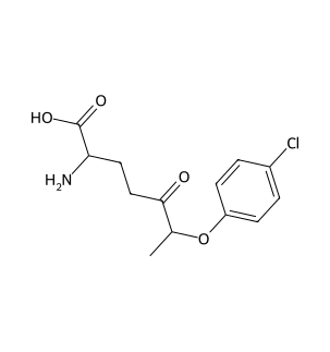 CC(Oc1ccc(Cl)cc1)C(=O)CCC(N)C(=O)O